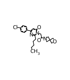 CCCCCc1nc(-c2ccc(Cl)cc2)cc(=O)n1CC(=O)N1CC2(COC2)C1